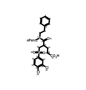 CCCCCN(CCc1ccccc1)C(=O)C(CCC(=O)O)CS(=O)(=O)c1ccc(Cl)c(Cl)c1